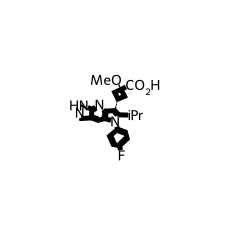 CO[C@]1(C(=O)O)C[C@H](c2c(C(C)C)n(-c3ccc(F)cc3)c3cc4cn[nH]c4nc32)C1